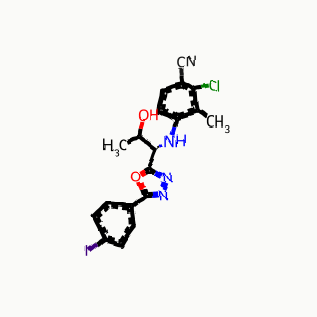 Cc1c(N[C@H](c2nnc(-c3ccc(I)cc3)o2)C(C)O)ccc(C#N)c1Cl